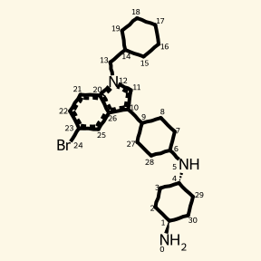 N[C@H]1CC[C@H](NC2CCC(c3cn(CC4CCCCC4)c4ccc(Br)cc34)CC2)CC1